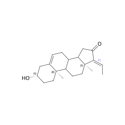 C/C=C1/C(=O)CC2C3CC=C4C[C@@H](O)CC[C@]4(C)C3CC[C@]12C